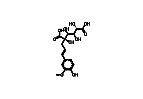 COc1cc(/C=C/C[C@](O)(C(=O)O)[C@@H](O)[C@H](O)[C@H](O)C(=O)O)ccc1O